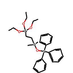 CCO[Si](CC[Si](C)(C)O[Si](c1ccccc1)(c1ccccc1)c1ccccc1)(OCC)OCC